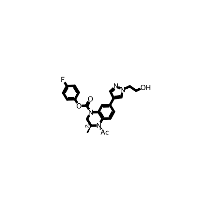 CC(=O)N1c2ccc(-c3cnn(CCO)c3)cc2N(C(=O)Oc2ccc(F)cc2)C[C@@H]1C